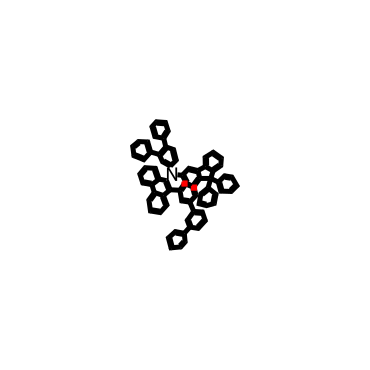 c1ccc(-c2cccc(-c3cccc(-c4c(N(c5ccc(-c6ccccc6)c(-c6ccccc6)c5)c5ccc6c(c5)-c5ccccc5C6(c5ccccc5)c5ccccc5)c5ccccc5c5ccccc45)c3)c2)cc1